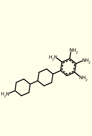 Nc1cc(C2CCC(C3CCC(N)CC3)CC2)c(N)c(N)c1N